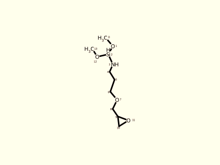 CO[SiH](NCCCOCC1CO1)OC